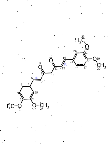 COC1=CCC(/C=C/C(=O)CC(=O)/C=C/c2ccc(OC)c(OC)c2)C=C1OC